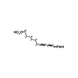 CCCCCC#CC#CCCCCCCC(=O)O